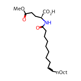 CCCCCCCC/C=C\CCCCCCCC(=O)N[C@@H](CCC(=O)OC)C(=O)O